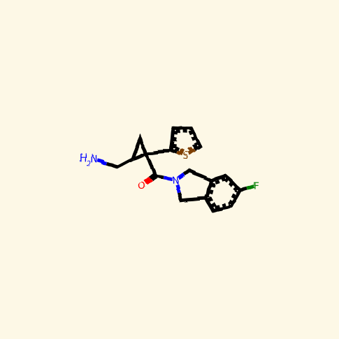 NCC1CC1(C(=O)N1Cc2ccc(F)cc2C1)c1cccs1